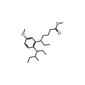 CCC(C)N(CC)c1ccc(OC)cc1N(CC)CCCC(=O)OC